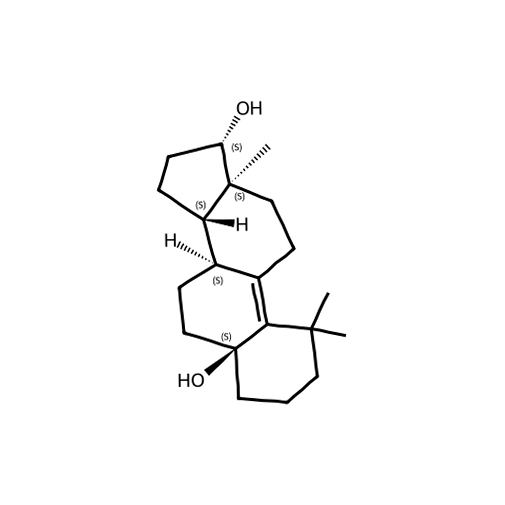 CC1(C)CCC[C@]2(O)CC[C@@H]3C(=C12)CC[C@]1(C)[C@@H](O)CC[C@@H]31